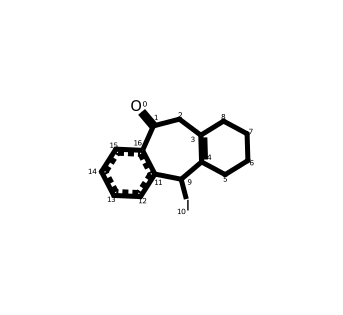 O=C1CC2=C(CCCC2)C(I)c2ccccc21